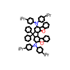 CC(C)c1ccc(N(c2ccc(C(C)C)cc2)c2cc3c(c4c2oc2ccccc24)-c2c(cc(N(c4ccc(C(C)C)cc4)c4ccc(C(C)C)cc4)c4c2oc2ccccc24)C3(c2ccccc2)c2ccccc2)cc1